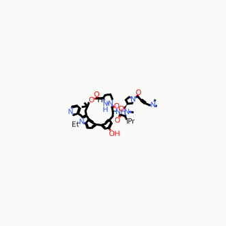 CCn1c(-c2cccnc2)c2c3cc(ccc31)-c1cc(O)cc(c1)C[C@H](NC(=O)C(C(C)C)N(C)C(=O)[C@H]1CCN(C(=O)C#CCN(C)C)C1)C(=O)N1CCC[C@H](N1)C(=O)OCC(C)(C)C2